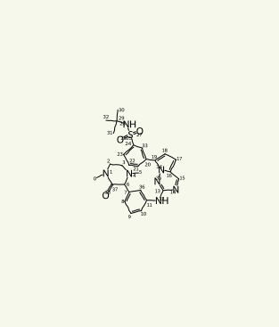 CN1CCN(C)C(c2cccc(Nc3ncc4ccc(-c5cccc(S(=O)(=O)NC(C)(C)C)c5)n4n3)c2)C1=O